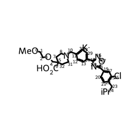 COCCOCC1(C(=O)O)CCN(Cc2ccc(-c3noc(-c4ccc(CC(C)C)c(Cl)c4)n3)cc2)CC1.[K]